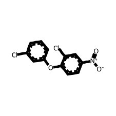 O=[N+]([O-])c1ccc(Oc2cccc(Cl)c2)c(Cl)c1